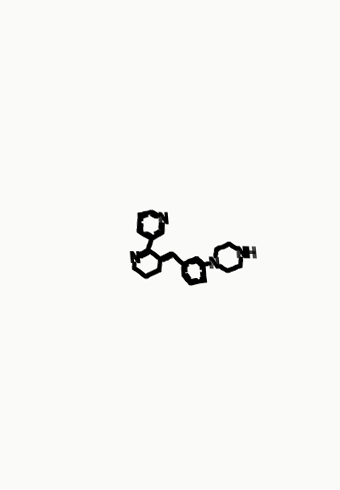 C(=C1CCCN=C1c1cccnc1)c1cccc(N2CCNCC2)c1